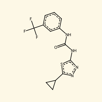 O=C(Nc1cccc(C(F)(F)F)c1)Nc1nnc(C2CC2)s1